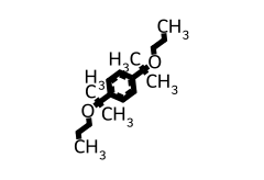 CCCOC(C)(C)c1ccc(C(C)(C)OCCC)cc1